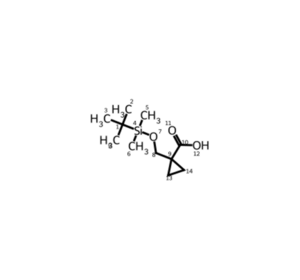 CC(C)(C)[Si](C)(C)OCC1(C(=O)O)CC1